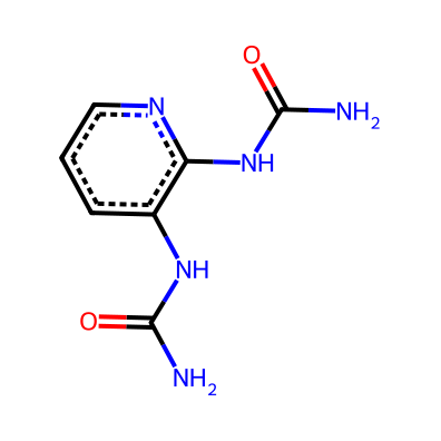 NC(=O)Nc1cccnc1NC(N)=O